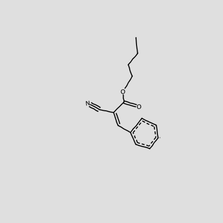 CCCCOC(=O)C(C#N)=Cc1cc[c]cc1